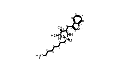 CCCCCCCCS(=O)(=O)NC(Cc1c[nH]c2ccccc12)C(=O)NO